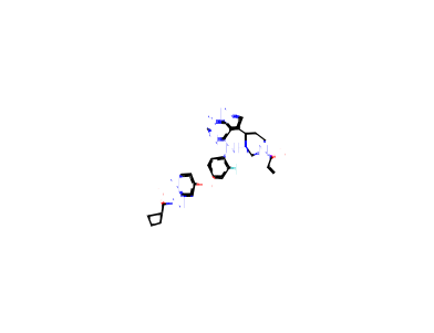 C=CC(=O)N1CCC(c2c[nH]c3ncnc(Nc4ccc(Oc5ccnc(NC(=O)C6CCC6)c5)cc4F)c23)CC1